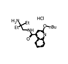 CCCCOc1cc(C(=O)NCC(N)(CC)CC)c2ccccc2n1.Cl